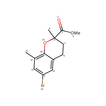 COC(=O)C1(C)CCc2cc(Br)cc(C)c2O1